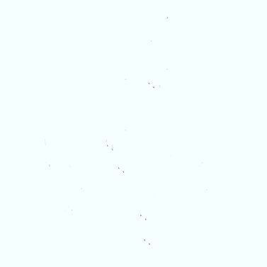 COc1cn(C2CCN(c3ccc(F)cc3)CC2)nc(C2CC=NN2c2ccccc2)c1=O